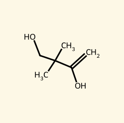 C=C(O)C(C)(C)CO